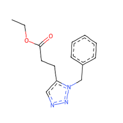 CCOC(=O)CCc1cnnn1Cc1ccccc1